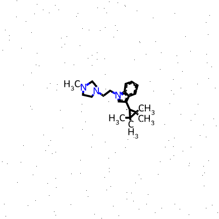 CN1CCN(CCn2cc([C]3C(C)(C)C3(C)C)c3ccccc32)CC1